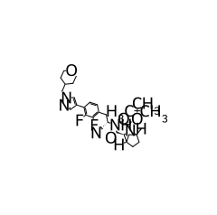 CC(C)(C)OC(=O)N1[C@@H]2CC[C@@H](C2)[C@H]1C(=O)N[C@H](C#N)Cc1ccc(-c2cnn(CC3CCOCC3)c2)c(F)c1F